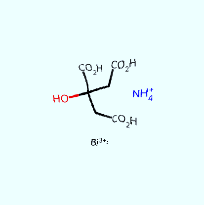 O=C(O)CC(O)(CC(=O)O)C(=O)O.[Bi+3].[NH4+]